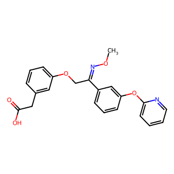 CON=C(COc1cccc(CC(=O)O)c1)c1cccc(Oc2ccccn2)c1